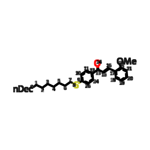 CCCCCCCCCCCCCCCCCSc1ccc(C(=O)/C=C/c2ccccc2OC)cc1